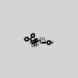 CN(CC#Cc1ccc(F)cc1)C1CC2=CC[C@H]1[C@@H](C(=O)O)N2C(=O)C(c1ccccc1)c1ccccc1